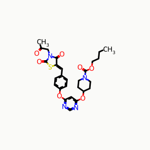 CCCCOC(=O)N1CCC(Oc2cc(Oc3ccc(C=C4SC(=O)N(CC(C)=O)C4=O)cc3)ncn2)CC1